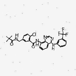 CC(C)(C)C(=O)NCc1ccc(Cl)c(C(=O)Nc2cccc3c(Nc4cccc(C(F)(F)F)c4)ncnc23)c1